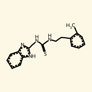 Cc1ccccc1CCNC(=S)Nc1nc2ccccc2[nH]1